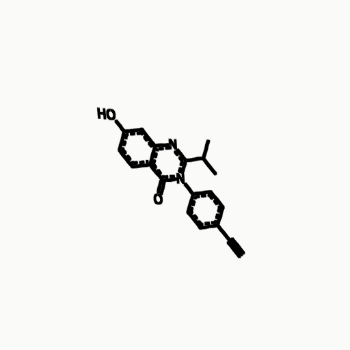 C#Cc1ccc(-n2c(C(C)C)nc3cc(O)ccc3c2=O)cc1